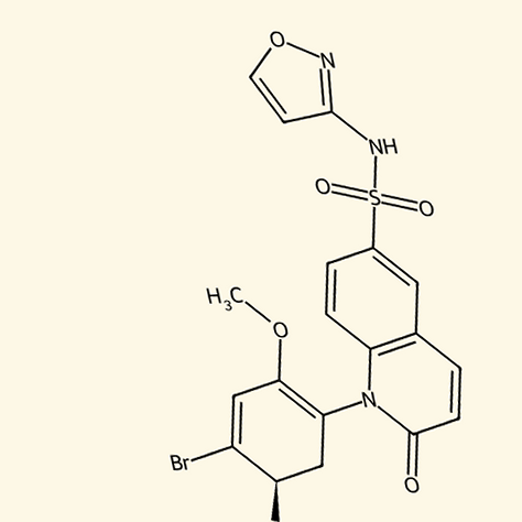 COC1=C(n2c(=O)ccc3cc(S(=O)(=O)Nc4ccon4)ccc32)C[C@@H](F)C(Br)=C1